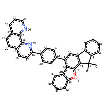 CC1(C)c2ccccc2-c2cc(-c3ccc(-c4ccc5ccc6cccnc6c5n4)cc3)c3c(oc4ccccc43)c21